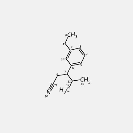 CCc1cccc(C(CC#N)C(C)C)c1